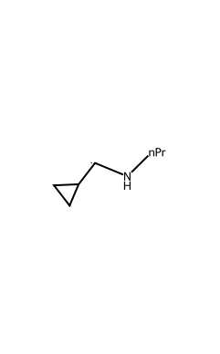 CCCN[CH]C1CC1